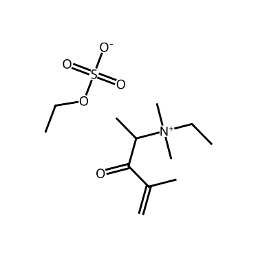 C=C(C)C(=O)C(C)[N+](C)(C)CC.CCOS(=O)(=O)[O-]